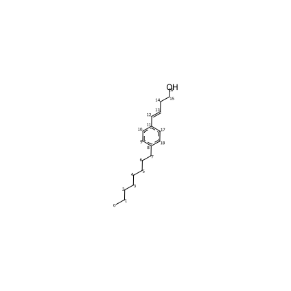 CCCCCCCCc1ccc(C=CCCO)cc1